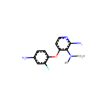 CC(C)N(C(=O)O)c1c(Oc2ccc(N)cc2F)ccnc1N